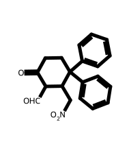 O=CC1C(=O)CCC(c2ccccc2)(c2ccccc2)C1C[N+](=O)[O-]